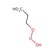 O=C(O)CCOOO